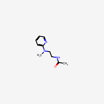 CC(=O)NCCN(C)c1ccccn1